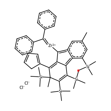 Cc1cc([Si](C)(C)C)c2c(c1)=[C]([Zr+2]=[C](c1ccccc1)c1ccccc1)C1=C(C3=CC=CC3)C(C)([Si](C)(C)C)C([Si](C)(C)C)=C([Si](C)(C)C)C=21.[Cl-].[Cl-]